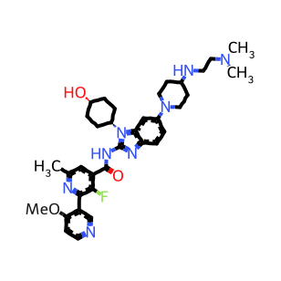 COc1ccncc1-c1nc(C)cc(C(=O)Nc2nc3ccc(N4CCC(NCCN(C)C)CC4)cc3n2[C@H]2CC[C@@H](O)CC2)c1F